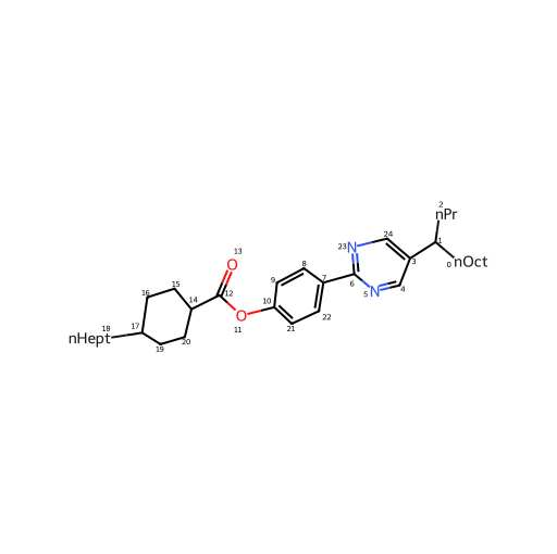 CCCCCCCCC(CCC)c1cnc(-c2ccc(OC(=O)C3CCC(CCCCCCC)CC3)cc2)nc1